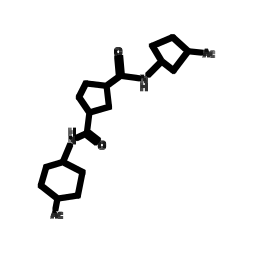 CC(=O)C1CCC(NC(=O)C2CCC(C(=O)NC3CCC(C(C)=O)C3)C2)CC1